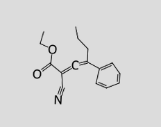 CCCC(=C=C(C#N)C(=O)OCC)c1ccccc1